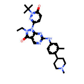 CCn1c(=O)c2cnc(Nc3ccc(C4CCN(C)CC4)c(C)c3)nc2n1-c1ccc(=O)n(C(C)(C)C)n1